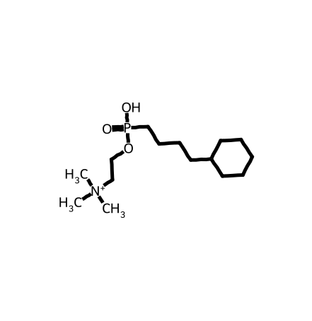 C[N+](C)(C)CCOP(=O)(O)CCCCC1CCCCC1